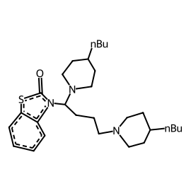 CCCCC1CCN(CCCC(N2CCC(CCCC)CC2)n2c(=O)sc3ccccc32)CC1